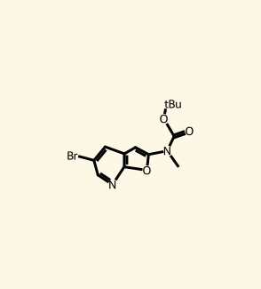 CN(C(=O)OC(C)(C)C)c1cc2cc(Br)cnc2o1